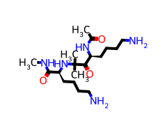 CNC(=O)[C@H](CCCCN)NC(C)(C)C(=O)[C@H](CCCCN)NC(C)=O